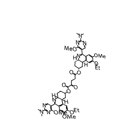 CCOc1cc2c(cc1OC)C(c1cnc(N(C)C)nc1OC)=N[C@@H]1CC[C@@H](OC(=O)CCC(=O)C(=O)O[C@@H]3CC[C@H]4N=C(c5cnc(N(C)C)nc5OC)c5cc(OC)c(OCC)cc5[C@H]4C3)C[C@H]21